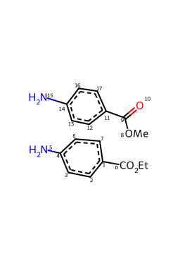 CCOC(=O)c1ccc(N)cc1.COC(=O)c1ccc(N)cc1